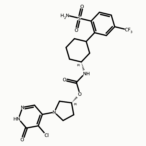 NS(=O)(=O)c1ccc(C(F)(F)F)cc1C1CCC[C@@H](NC(=O)O[C@@H]2CCN(c3cn[nH]c(=O)c3Cl)C2)C1